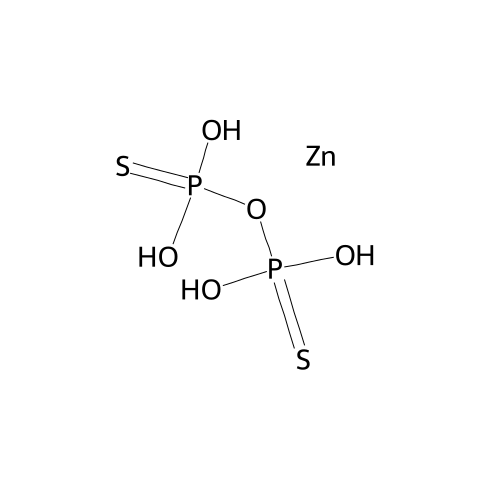 OP(O)(=S)OP(O)(O)=S.[Zn]